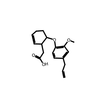 C=CCc1ccc(OC2CCC=CC2CC(=O)O)c(OC)c1